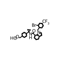 O=C(NC1(c2ccc(COO)cc2)CC1)c1cccc2ccn(Cc3ccc(C(F)(F)F)cc3Br)c12